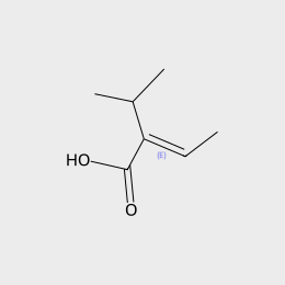 C/C=C(/C(=O)O)C(C)C